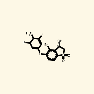 CC1C(F)=CC(Oc2ccc3c(c2Br)[C@@H](O)CS3(=O)=O)=CC1F